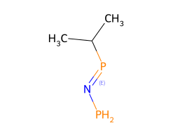 CC(C)/P=N/P